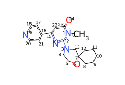 Cn1c(N2CCOC3(CCCCC3)C2)nc(-c2ccncc2)cc1=O